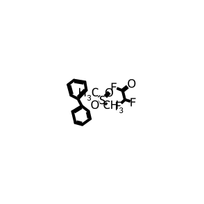 CS(C)(=O)=O.O=C(F)C(F)F.c1ccc(-c2ccccc2)cc1